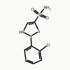 NS(=O)(=O)C1=CNN(c2ccccc2Cl)S1